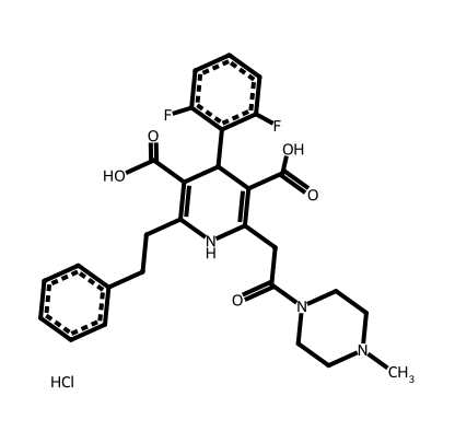 CN1CCN(C(=O)CC2=C(C(=O)O)C(c3c(F)cccc3F)C(C(=O)O)=C(CCc3ccccc3)N2)CC1.Cl